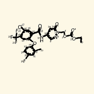 CCOC(=O)OCn1ncc(NC(=O)c2cc(Cl)c(C(F)(F)F)cc2Oc2ccc(F)cc2C)cc1=O